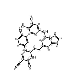 N#CC1=CN(c2ccc(Cl)cc2)C(SCc2cc(Nc3ccc(Cl)c(Cl)c3)n3ncnc3n2)NC1=O